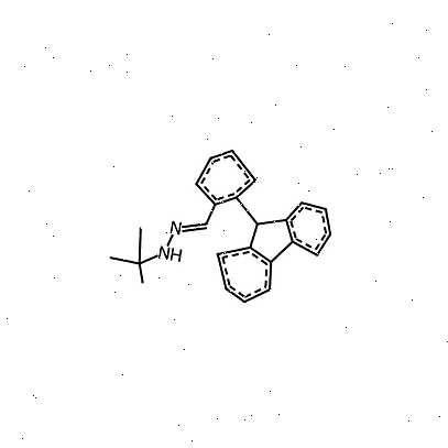 CC(C)(C)N/N=C/c1ccccc1C1c2ccccc2-c2ccccc21